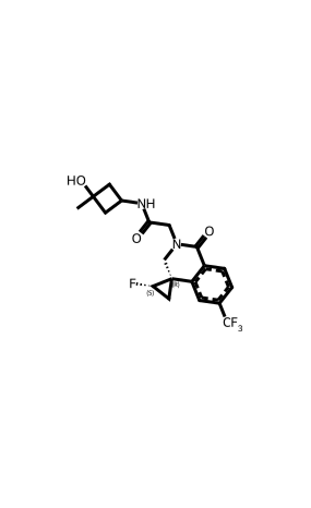 CC1(O)CC(NC(=O)CN2C[C@@]3(C[C@@H]3F)c3cc(C(F)(F)F)ccc3C2=O)C1